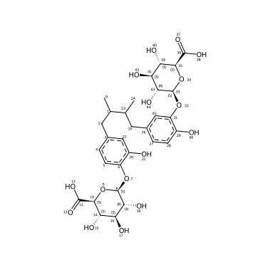 CC(Cc1ccc(O[C@@H]2O[C@H](C(=O)O)[C@@H](O)[C@H](O)[C@H]2O)c(O)c1)C(C)Cc1ccc(O)c(O[C@@H]2O[C@H](C(=O)O)[C@@H](O)[C@H](O)[C@H]2O)c1